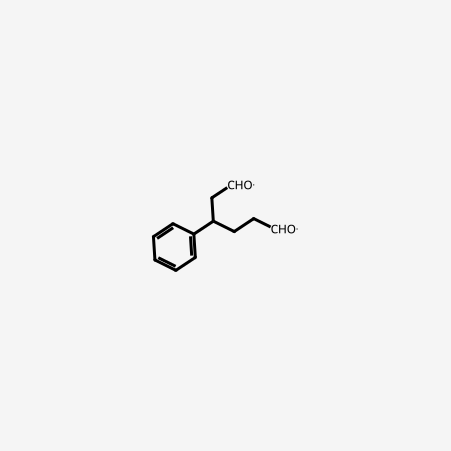 O=[C]CCC(C[C]=O)c1ccccc1